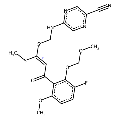 COCOc1c(F)ccc(OC)c1C(=O)/C=C(\SC)SCNc1cnc(C#N)cn1